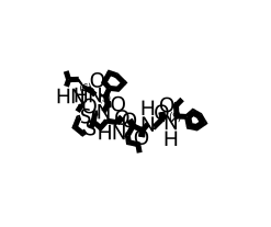 CCCC(NC(=O)C1CC2(CN1C(=O)[C@@H](NC(=O)[C@H](CC(C)C)NC(C)=O)C1CCCCC1)SCCCS2)C(=O)C(=O)NCC(=O)N[C@H](C(C)=O)c1ccccc1